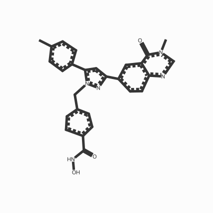 Cc1ccc(-c2cc(-c3ccc4ncn(C)c(=O)c4c3)nn2Cc2ccc(C(=O)NO)cc2)cc1